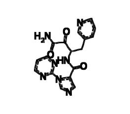 NC(=O)C(=O)C(Cc1cccnc1)NC(=O)c1cncn1-c1ncccn1